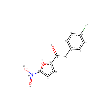 O=C(Cc1ccc(F)cc1)c1ccc([N+](=O)[O-])o1